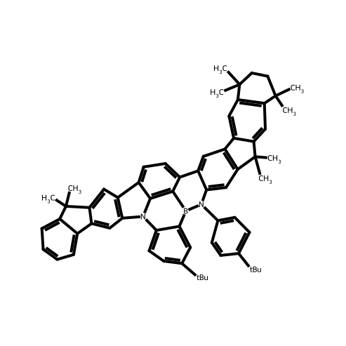 CC(C)(C)c1ccc(N2B3c4cc(C(C)(C)C)ccc4-n4c5cc6c(cc5c5ccc(c3c54)-c3cc4c(cc32)C(C)(C)c2cc3c(cc2-4)C(C)(C)CCC3(C)C)C(C)(C)c2ccccc2-6)cc1